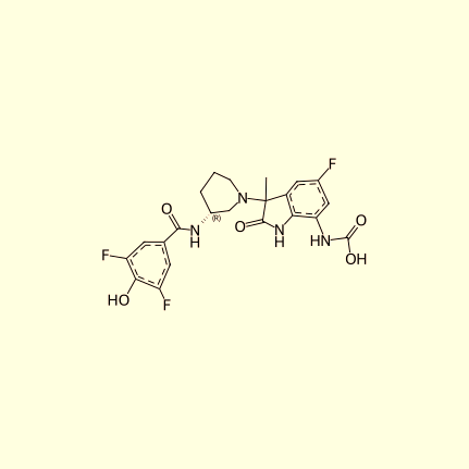 CC1(N2CCC[C@@H](NC(=O)c3cc(F)c(O)c(F)c3)C2)C(=O)Nc2c(NC(=O)O)cc(F)cc21